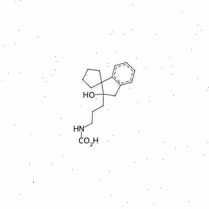 O=C(O)NCCCC1(O)Cc2ccccc2C12CCCC2